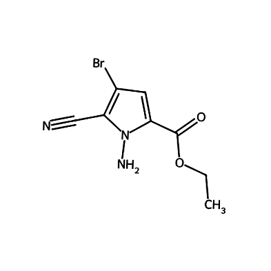 CCOC(=O)c1cc(Br)c(C#N)n1N